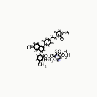 Cc1ccc([C@H]2C[C@H](N3CCN(CCN4CCN(C(C)C)C4=O)CC3)c3ccc(Cl)cc32)cc1.O=C(O)/C=C\C(=O)O.O=C(O)/C=C\C(=O)O